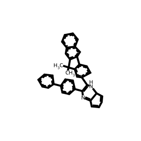 CC1(C)c2cc(C3=C(c4ccc(-c5ccccc5)cc4)N=C4C=CC=CC4N3)ccc2-c2cc3ccccc3cc21